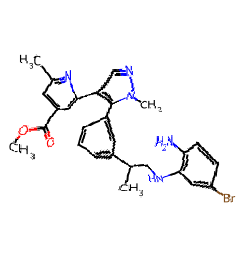 COC(=O)c1cc(C)nc(-c2cnn(C)c2-c2cccc(C(C)CNc3cc(Br)ccc3N)c2)c1